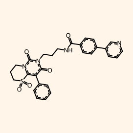 O=C(NCCCn1c(=O)c(-c2ccccc2)c2n(c1=O)CCCS2(=O)=O)c1ccc(-c2cccnc2)cc1